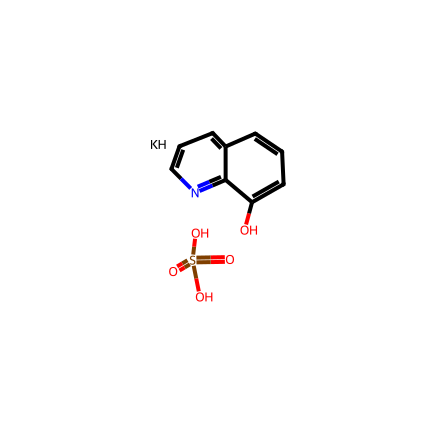 O=S(=O)(O)O.Oc1cccc2cccnc12.[KH]